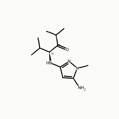 CC(C)C(=O)[C@@H](Nc1cc(N)n(C)n1)C(C)C